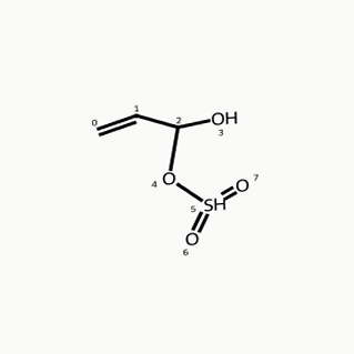 C=CC(O)O[SH](=O)=O